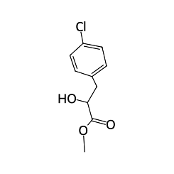 COC(=O)C(O)Cc1ccc(Cl)cc1